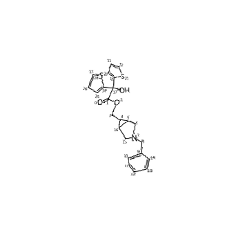 O=C(OCC1C2CN(Cc3ccccc3)CC12)C(O)(c1cccs1)c1cccs1